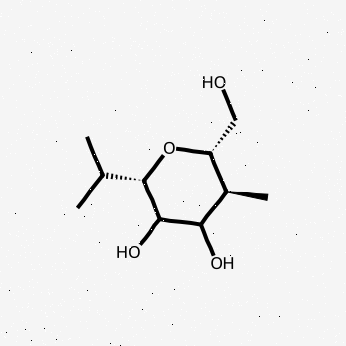 CC(C)[C@@H]1O[C@H](CO)[C@@H](C)C(O)C1O